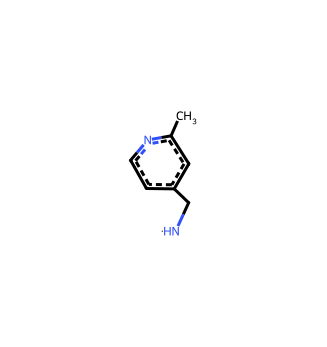 Cc1cc(C[NH])ccn1